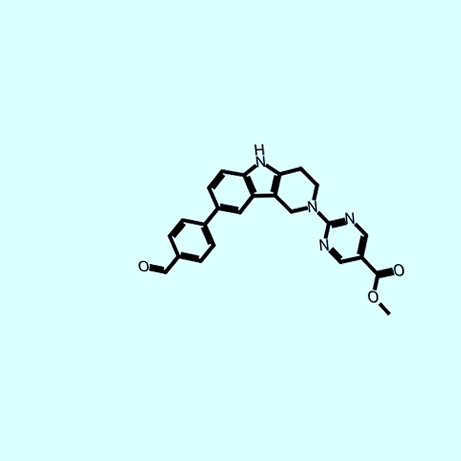 COC(=O)c1cnc(N2CCc3[nH]c4ccc(-c5ccc(C=O)cc5)cc4c3C2)nc1